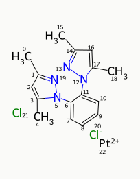 Cc1cc(C)n(-c2ccccc2-n2nc(C)cc2C)n1.[Cl-].[Cl-].[Pt+2]